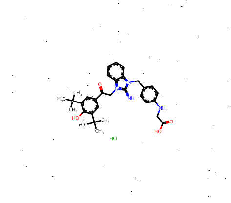 CC(C)(C)c1cc(C(=O)Cn2c(=N)n(Cc3ccc(NCC(=O)O)cc3)c3ccccc32)cc(C(C)(C)C)c1O.Cl